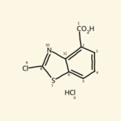 Cl.O=C(O)c1cccc2sc(Cl)nc12